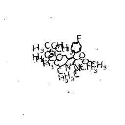 CCOC(=O)c1c(N(C)C)nc(C(C)C)c(CO[Si](C)(C)C(C)(C)C)c1-c1ccc(F)cc1